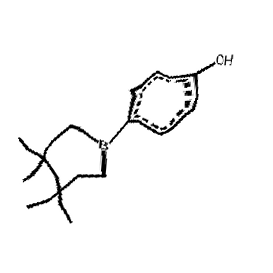 CC1(C)CB(c2ccc(O)cc2)CC1(C)C